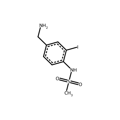 CS(=O)(=O)Nc1ccc(CN)cc1I